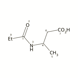 CCC(=O)NC(C)CC(=O)O